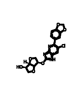 O[C@@H]1COC2[C@H](Oc3nc4nc(-c5ccc6c(c5)OCO6)c(Cl)cc4[nH]3)CO[C@@H]21